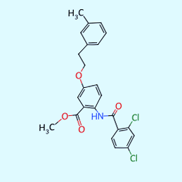 COC(=O)c1cc(OCCc2cccc(C)c2)ccc1NC(=O)c1ccc(Cl)cc1Cl